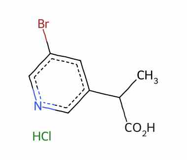 CC(C(=O)O)c1cncc(Br)c1.Cl